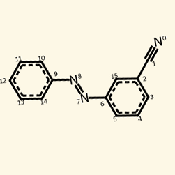 N#Cc1cccc(N=Nc2ccccc2)c1